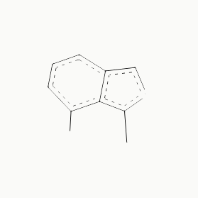 Cc1scc2cccc(I)c12